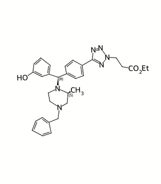 CCOC(=O)CCn1nnc(-c2ccc([C@H](c3cccc(O)c3)N3CCN(Cc4ccccc4)C[C@@H]3C)cc2)n1